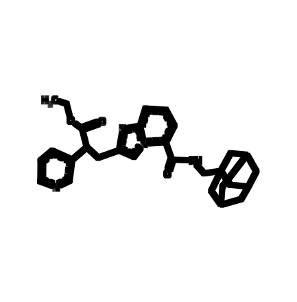 CCOC(=O)C(Cc1cn2c(C(=O)NCC34CC5CC(CC(C5)C3)C4)cccc2n1)c1cccnc1